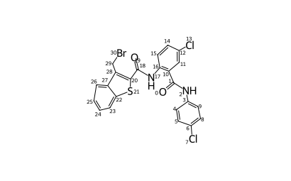 O=C(Nc1ccc(Cl)cc1)c1cc(Cl)ccc1NC(=O)c1sc2ccccc2c1CBr